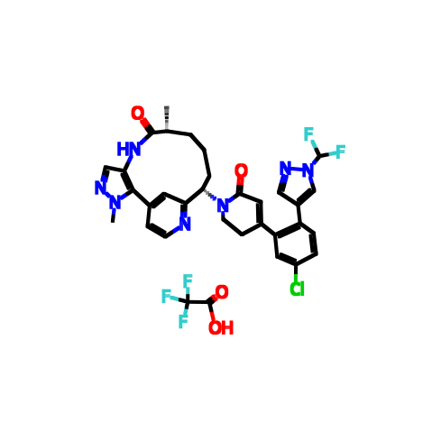 C[C@@H]1CCC[C@H](N2CCC(c3cc(Cl)ccc3-c3cnn(C(F)F)c3)=CC2=O)c2cc(ccn2)-c2c(cnn2C)NC1=O.O=C(O)C(F)(F)F